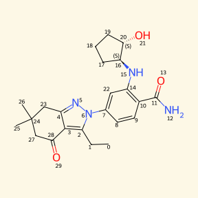 CCc1c2c(nn1-c1ccc(C(N)=O)c(N[C@H]3CCC[C@@H]3O)c1)CC(C)(C)CC2=O